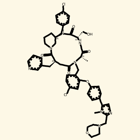 C[C@H]1C(=O)N[C@@H](CO)C(=O)N[C@@]2(Cc3ccc(Cl)cc3)CCCN(C2)C(=O)[C@H](Cc2cccnc2)CC(=O)N1Cc1ccc(Cl)cc1Oc1ccc(-c2cnc(CN3CCOCC3)n2C)cc1